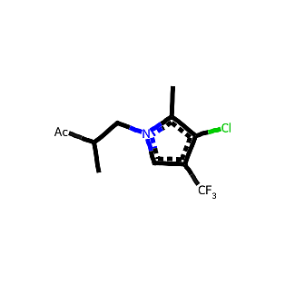 CC(=O)C(C)Cn1cc(C(F)(F)F)c(Cl)c1C